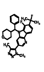 Cc1nnn(C)c1-c1cnc2c3ccc(C(C)(C)F)c(F)c3n(C(c3ccccc3)C3CCOCC3)c2c1